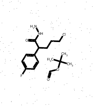 CC(C)(C)OC=O.NNC(=O)C(CCCCl)c1ccc(F)cc1